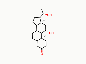 CC(O)C1CCC2C3CCC4=CC(=O)CC[C@]4(C)C3[C@@H](O)C[C@]12C